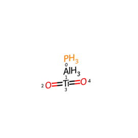 P.[AlH3].[O]=[Ti]=[O]